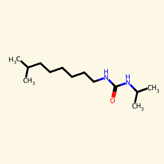 CC(C)CCCCCCNC(=O)NC(C)C